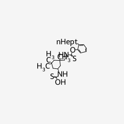 CCCCCCCc1ccccc1OC(=S)NCC1(C)CC(NC(O)=S)CC(C)(C)C1